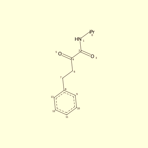 CC(C)NC(=O)C(=O)CCc1ccccc1